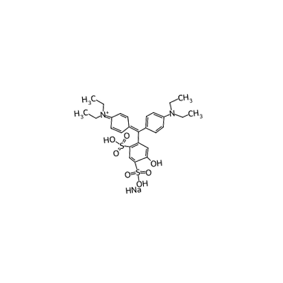 CCN(CC)c1ccc(C(=C2C=CC(=[N+](CC)CC)C=C2)c2cc(O)c(S(=O)(=O)O)cc2S(=O)(=O)O)cc1.[NaH]